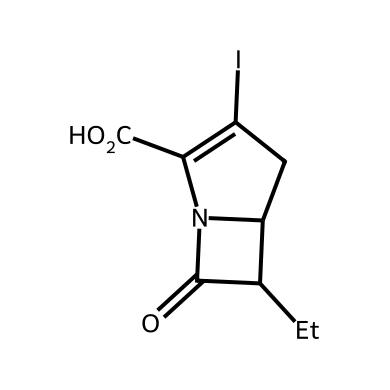 CCC1C(=O)N2C(C(=O)O)=C(I)CC12